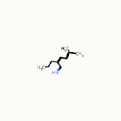 CCC/C(C=N)=C/C=C(C)C